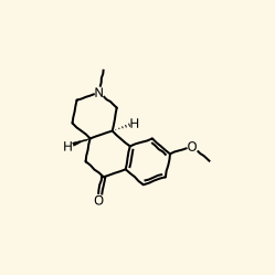 COc1ccc2c(c1)[C@@H]1CN(C)CC[C@H]1CC2=O